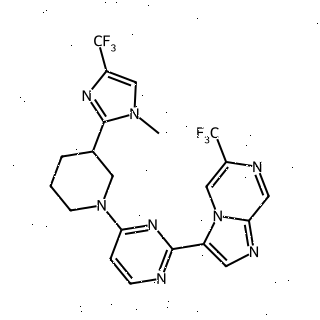 Cn1cc(C(F)(F)F)nc1C1CCCN(c2ccnc(-c3cnc4cnc(C(F)(F)F)cn34)n2)C1